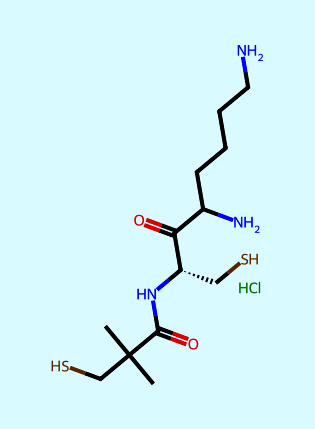 CC(C)(CS)C(=O)N[C@@H](CS)C(=O)C(N)CCCCN.Cl